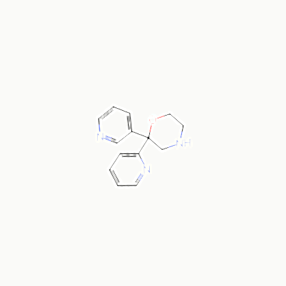 c1ccc(C2(c3cccnc3)CNCCO2)nc1